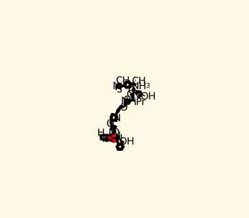 Cc1ncsc1-c1ccc([C@H](C)NC(=O)[C@@H]2C[C@@H](O)CN2C(=O)C(c2cc(OCC#Cc3ccc(OC4CC(Oc5cc(N6C7CCC6CN(c6cc(-c8ccccc8O)nnc6N)C7)ccn5)C4)cn3)no2)C(C)C)cc1